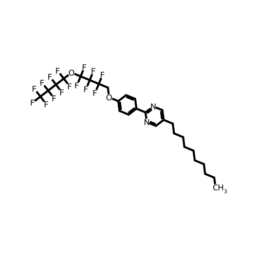 CCCCCCCCCCc1cnc(-c2ccc(OCC(F)(F)C(F)(F)C(F)(F)OC(F)(F)C(F)(F)C(F)(F)C(F)(F)F)cc2)nc1